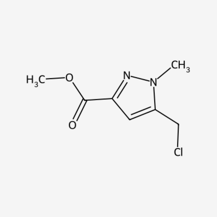 COC(=O)c1cc(CCl)n(C)n1